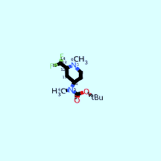 CN1CCC(N(C)C(=O)OC(C)(C)C)CC1C(F)F